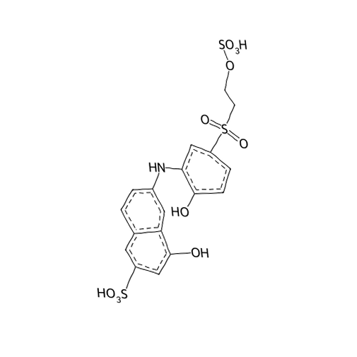 O=S(=O)(O)OCCS(=O)(=O)c1ccc(O)c(Nc2ccc3cc(S(=O)(=O)O)cc(O)c3c2)c1